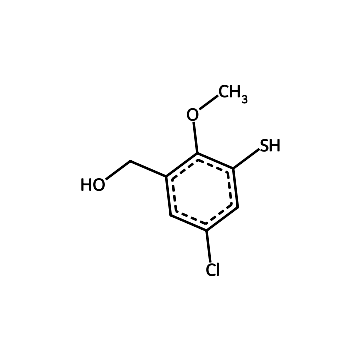 COc1c(S)cc(Cl)cc1CO